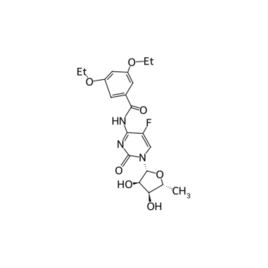 CCOc1cc(OCC)cc(C(=O)Nc2nc(=O)n([C@@H]3O[C@H](C)[C@@H](O)[C@H]3O)cc2F)c1